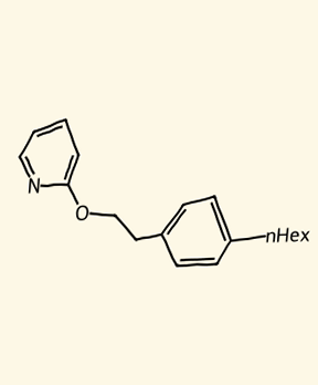 CCCCCCc1ccc(CCOc2ccccn2)cc1